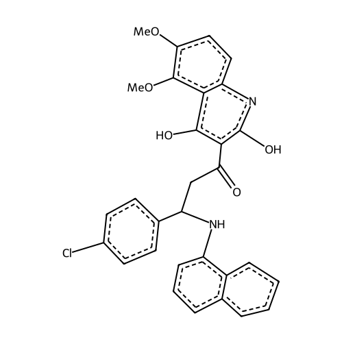 COc1ccc2nc(O)c(C(=O)CC(Nc3cccc4ccccc34)c3ccc(Cl)cc3)c(O)c2c1OC